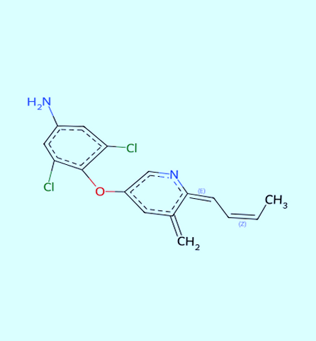 C=c1cc(Oc2c(Cl)cc(N)cc2Cl)cn/c1=C/C=C\C